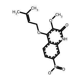 COc1c(OCC=C(C)C)c2ccc([N+](=O)[O-])cc2[nH]c1=O